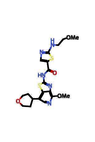 COCCNc1ncc(C(=O)Nc2nc3c(OC)ncc(C4CCOCC4)c3s2)s1